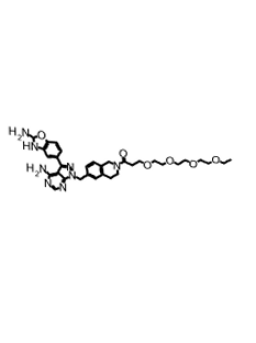 CCOCCOCCOCCOCCC(=O)N1CCc2cc(Cn3nc(-c4ccc5c(c4)NC(N)O5)c4c(N)ncnc43)ccc2C1